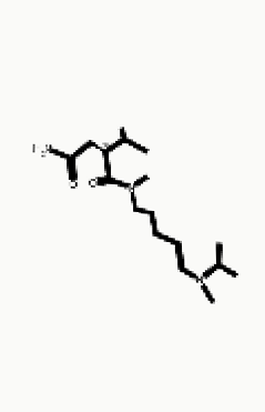 CC(C)[C@H](CC(N)=O)C(=O)N(C)CCCCCN(C)C(C)C